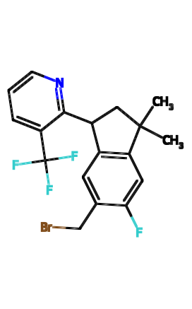 CC1(C)CC(c2ncccc2C(F)(F)F)c2cc(CBr)c(F)cc21